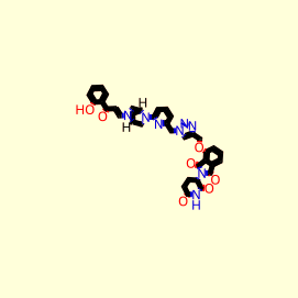 O=C1CCC(N2C(=O)c3cccc(OCc4cn(Cc5cccc(N6C[C@H]7C[C@@H]6CN7/C=C/C(=O)c6ccccc6O)n5)nn4)c3C2=O)C(=O)N1